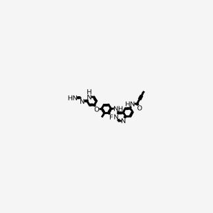 CC#CC(=O)Nc1ccc2ncnc(Nc3ccc(Oc4cc[nH]/c(=N\C=N)c4)c(C)c3F)c2c1